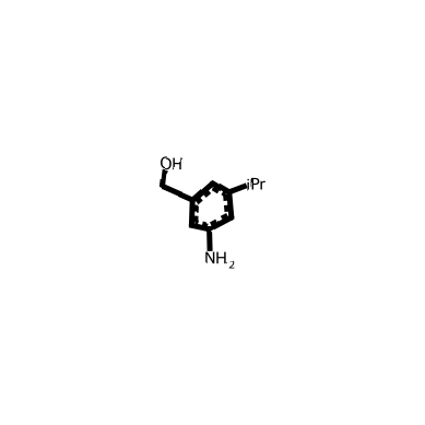 CC(C)c1cc(N)cc(CO)c1